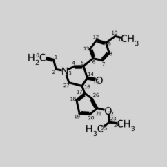 C=CCN1C=C(c2ccc(CC)cc2)C(=O)C(c2cccc(OC(C)C)c2)C1